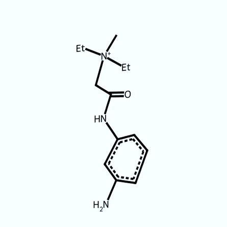 CC[N+](C)(CC)CC(=O)Nc1cccc(N)c1